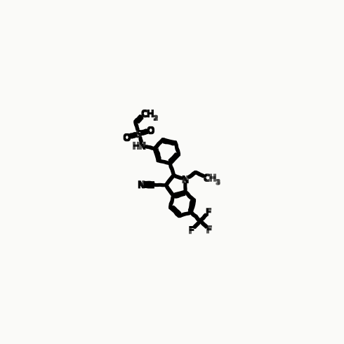 C=CS(=O)(=O)Nc1cccc(C2C(C#N)c3ccc(C(F)(F)F)cc3N2CC)c1